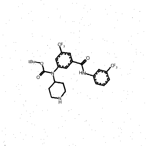 CC(C)(C)OC(=O)N(c1cc(C(=O)Nc2cccc(C(F)(F)F)c2)cc(C(F)(F)F)c1)C1CCNCC1